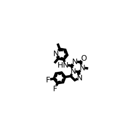 Cc1ccc(NC2=NC(=O)N(C)C3=NCC(c4ccc(F)c(F)c4)N23)c(C)n1